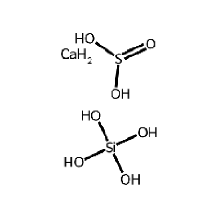 O=S(O)O.O[Si](O)(O)O.[CaH2]